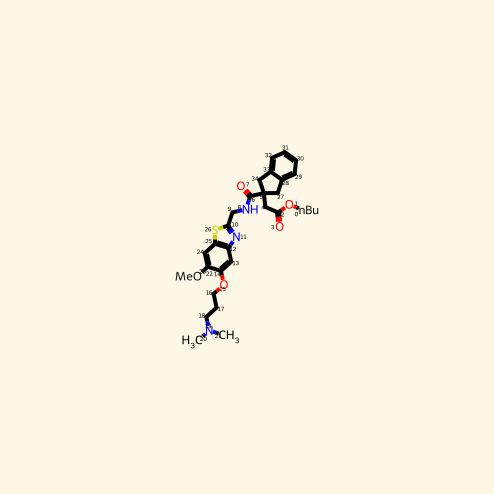 CCCCOC(=O)CC1(C(=O)NCc2nc3cc(OCCCN(C)C)c(OC)cc3s2)Cc2ccccc2C1